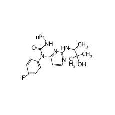 CCCNC(=O)N(c1ccc(F)cc1)c1ccnc(N[C@@H](C)C(C)(C)O)n1